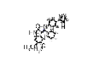 COc1cc2c(cc1OC)/C(=C(/Nc1ccc(-c3nnn[nH]3)cc1)c1ccccc1)C(=O)N2